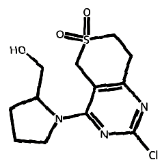 O=S1(=O)CCc2nc(Cl)nc(N3CCCC3CO)c2C1